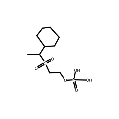 CC(C1CCCCC1)S(=O)(=O)CCOP(=O)(O)O